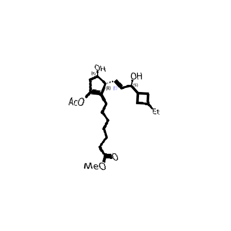 CCC1CC([C@H](O)/C=C/[C@@H]2C(CCCCCCC(=O)OC)=C(OC(C)=O)C[C@H]2O)C1